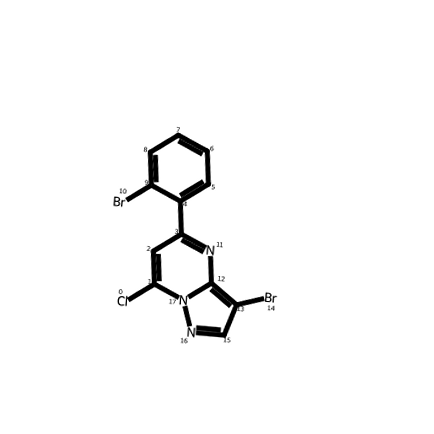 Clc1cc(-c2ccccc2Br)nc2c(Br)cnn12